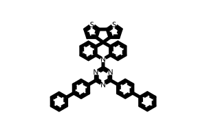 c1ccc(-c2ccc(-c3nc(-c4ccc(-c5ccccc5)cc4)nc(N4c5ccccc5C5(c6ccccc64)c4ccsc4-c4sccc45)n3)cc2)cc1